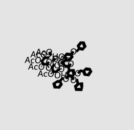 CC(=O)OC[C@H]1O[C@@H](O[C@H]2[C@H](OC(C)=O)[C@@H](O)[C@H](Oc3c(-c4cc(OCc5ccccc5)c(OCc5ccccc5)c(OCc5ccccc5)c4)oc4cc(OCc5ccccc5)cc(O)c4c3=O)O[C@@H]2COC(C)=O)[C@H](OC(C)=O)[C@@H](OC(C)=O)[C@H]1OC(C)=O